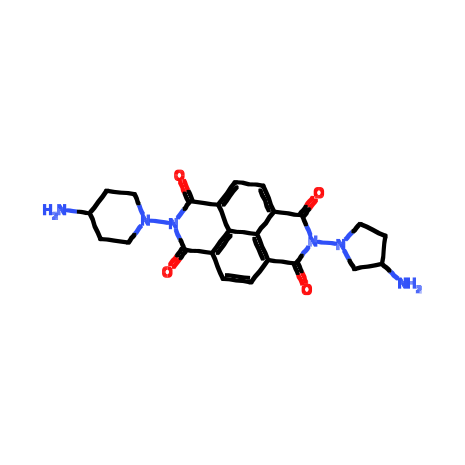 NC1CCN(N2C(=O)c3ccc4c5c(ccc(c35)C2=O)C(=O)N(N2CCC(N)C2)C4=O)CC1